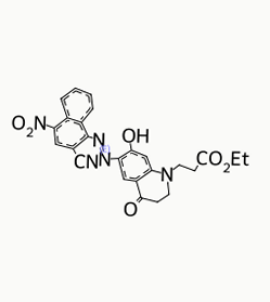 CCOC(=O)CCN1CCC(=O)c2cc(/N=N/c3c(C#N)cc([N+](=O)[O-])c4ccccc34)c(O)cc21